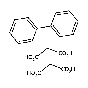 O=C(O)CC(=O)O.O=C(O)CC(=O)O.c1ccc(-c2ccccc2)cc1